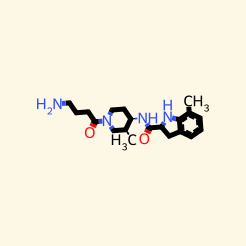 Cc1cccc2c1NC(C(=O)N[C@H]1CCN(C(=O)CCCN)C[C@H]1C)C2